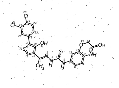 C/C(=N\NC(=S)Nc1ccc2c(c1)OCC(=O)N2)c1csc(-c2ccc(Cl)c(Cl)c2)c1O